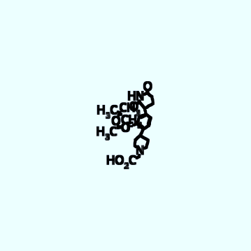 CC(=O)OC(C)(C)C.O=C(O)CN1CCC(c2ccc(C3CCC(=O)NC3=O)cc2F)CC1